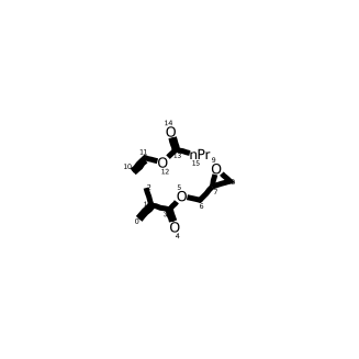 C=C(C)C(=O)OCC1CO1.C=COC(=O)CCC